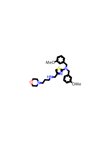 COc1cccc(CN(Cc2cccc(OC)c2)c2nc(CNCCCN3CCOCC3)cs2)c1